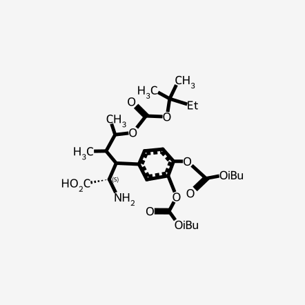 CCC(C)(C)OC(=O)OC(C)C(C)C(c1ccc(OC(=O)OCC(C)C)c(OC(=O)OCC(C)C)c1)[C@H](N)C(=O)O